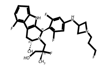 C[C@@H]1Cc2c([nH]c3cccc(F)c23)[C@@H](c2c(F)cc(NC3CN(CCCF)C3)cc2F)N1C[C@](C)(F)CO